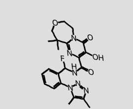 Cc1nnn(-c2ccccc2C(F)NC(=O)c2nc3n(c(=O)c2O)CCOCC3(C)C)c1C